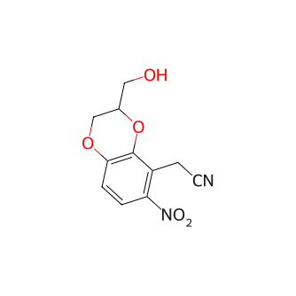 N#CCc1c([N+](=O)[O-])ccc2c1OC(CO)CO2